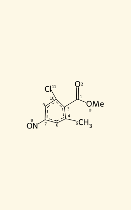 COC(=O)c1c(C)cc(N=O)cc1Cl